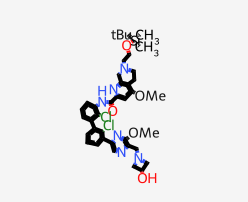 COc1cc(C(=O)Nc2cccc(-c3cccc(-c4cnc(CN5CC(O)C5)c(OC)n4)c3Cl)c2Cl)nc2c1CCN(CCO[Si](C)(C)C(C)(C)C)C2